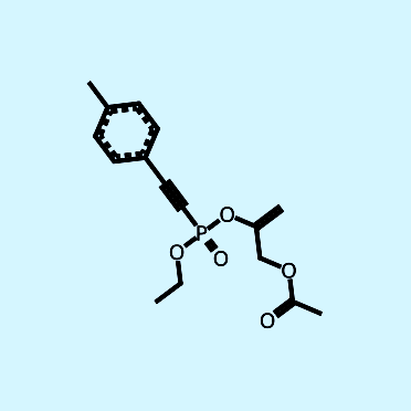 C=C(COC(C)=O)OP(=O)(C#Cc1ccc(C)cc1)OCC